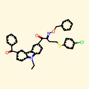 CCn1c2ccc(C(=O)/C(CCSc3ccc(Cl)cc3)=N/OCc3ccccc3)cc2c2cc(C(=O)c3ccccc3)ccc21